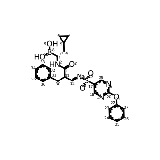 O=C(N[C@@H](CC1CC1)B(O)O)C(/C=N/S(=O)(=O)c1cnc(Oc2ccccc2)nc1)Cc1ccccc1